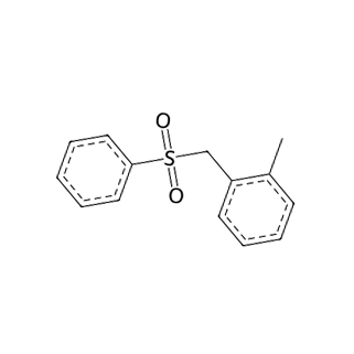 Cc1ccccc1CS(=O)(=O)c1ccccc1